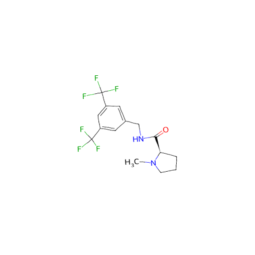 CN1CCC[C@@H]1C(=O)NCc1cc(C(F)(F)F)cc(C(F)(F)F)c1